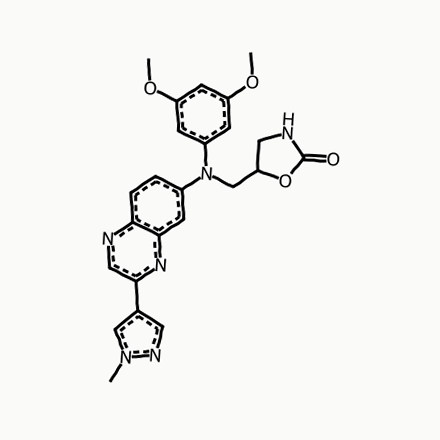 COc1cc(OC)cc(N(CC2CNC(=O)O2)c2ccc3ncc(-c4cnn(C)c4)nc3c2)c1